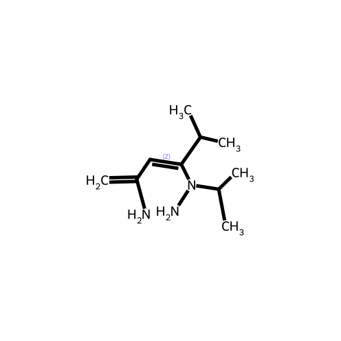 C=C(N)/C=C(/C(C)C)N(N)C(C)C